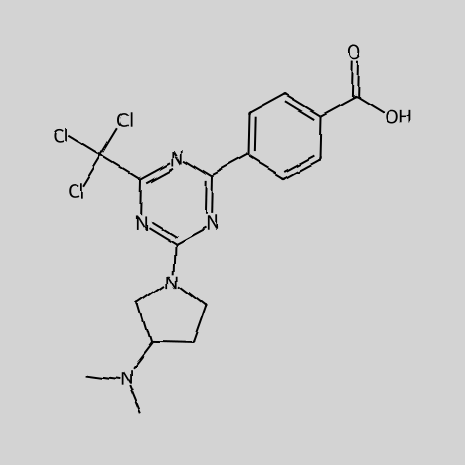 CN(C)C1CCN(c2nc(-c3ccc(C(=O)O)cc3)nc(C(Cl)(Cl)Cl)n2)C1